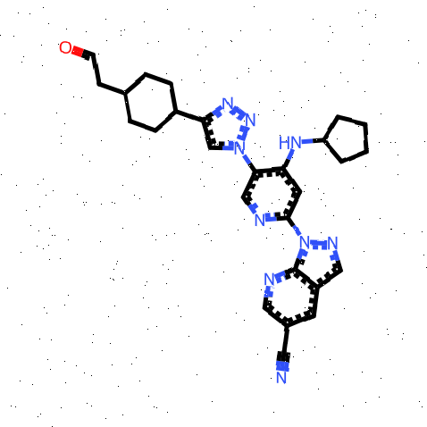 N#Cc1cnc2c(cnn2-c2cc(NC3CCCC3)c(-n3cc(C4CCC(CC=O)CC4)nn3)cn2)c1